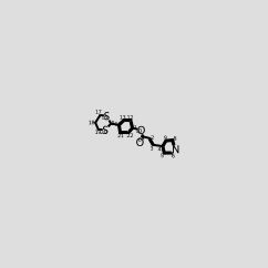 O=C(/C=C/c1ccncc1)Oc1ccc(C2SCCCS2)cc1